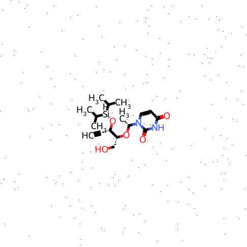 C#C[C@H](O[SiH](C(C)C)C(C)C)[C@@H](CO)O[C@H](C)n1ccc(=O)[nH]c1=O